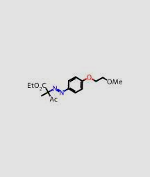 CCOC(=O)C(C)(N=Nc1ccc(OCCOC)cc1)C(C)=O